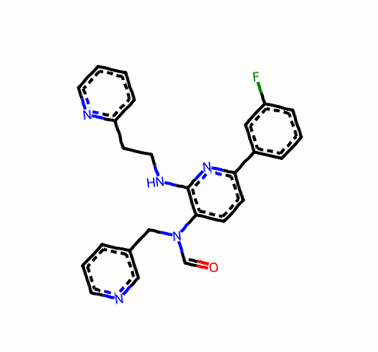 O=CN(Cc1cccnc1)c1ccc(-c2cccc(F)c2)nc1NCCc1ccccn1